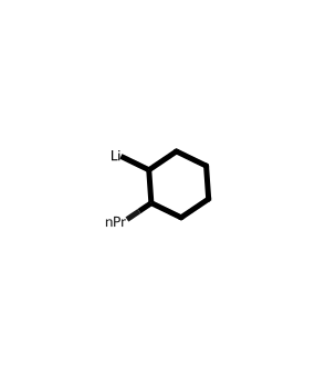 [Li][CH]1CCCCC1CCC